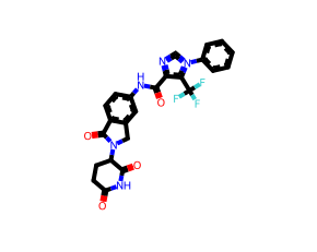 O=C1CCC(N2Cc3cc(NC(=O)c4ncn(-c5ccccc5)c4C(F)(F)F)ccc3C2=O)C(=O)N1